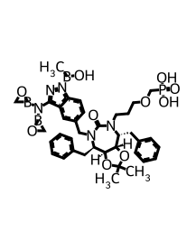 CB(O)n1nc(N(B2CO2)B2CO2)c2cc(CN3C(=O)N(CCCOCP(=O)(O)O)[C@H](Cc4ccccc4)[C@@H]4OC(C)(C)O[C@H]4[C@H]3Cc3ccccc3)ccc21